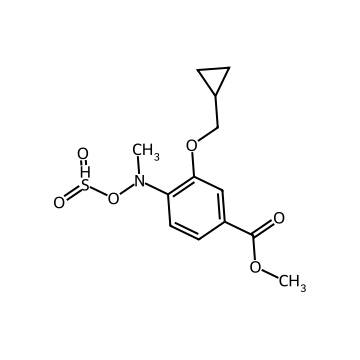 COC(=O)c1ccc(N(C)O[SH](=O)=O)c(OCC2CC2)c1